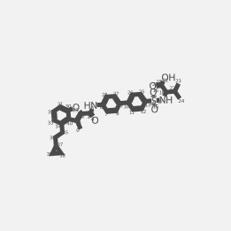 Cc1c(C(=O)Nc2ccc(-c3ccc(S(=O)(=O)NC(C(=O)O)C(C)C)cc3)cc2)oc2cccc(CCC3CC3)c12